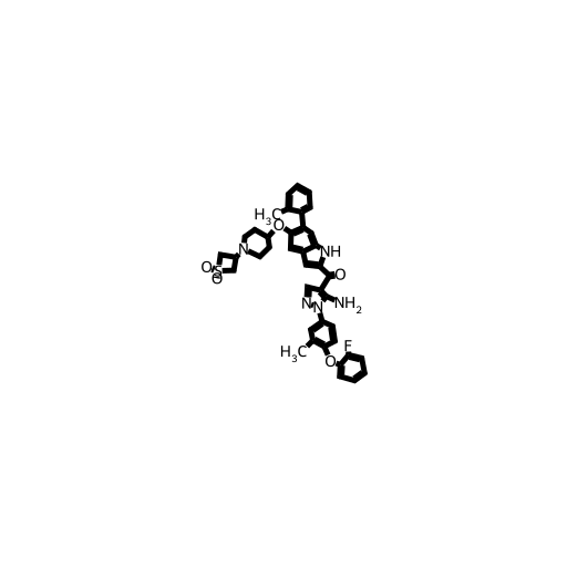 Cc1cc(-n2ncc(C(=O)c3cc4cc(OC5CCN(C6CS(=O)(=O)C6)CC5)c(-c5ccccc5C)cc4[nH]3)c2N)ccc1Oc1ccccc1F